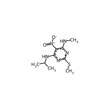 CNc1nc(SC)nc(NC(C)C)c1[N+](=O)[O-]